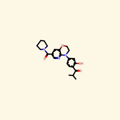 CC(C)C(=O)c1ccc(N2CCOc3cc(C(=O)N4CCCCC4)cnc32)cc1O